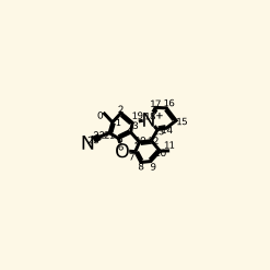 Cc1ccc2c(oc3ccc(C)c(-c4cccc[n+]4C)c32)c1C#N